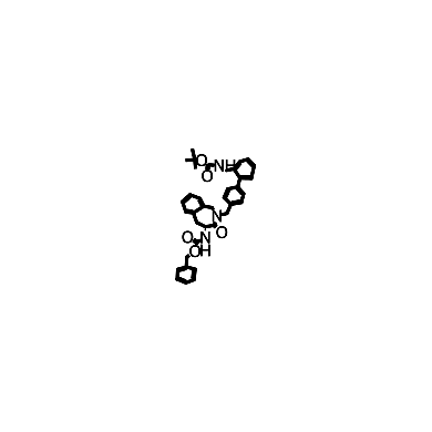 CC(C)(C)OC(=O)NCc1ccccc1-c1ccc(CN2Cc3ccccc3C[C@@H](NC(=O)OCc3ccccc3)C2=O)cc1